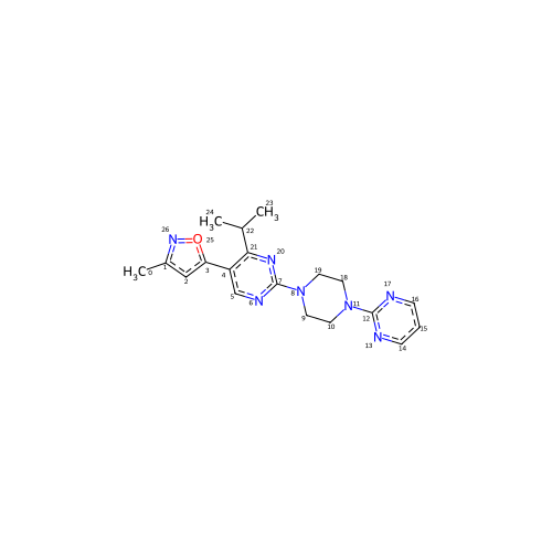 Cc1cc(-c2cnc(N3CCN(c4ncccn4)CC3)nc2C(C)C)on1